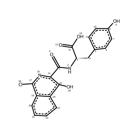 O=C(N[C@@H](Cc1ccc(O)cc1)C(=O)O)c1nc(Cl)c2ccccc2c1O